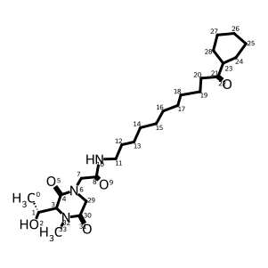 C[C@@H](O)C1C(=O)N(CC(=O)NCCCCCCCCCCC(=O)C2CCCCC2)CC(=O)N1C